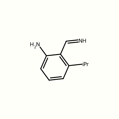 CC(C)c1cccc(N)c1C=N